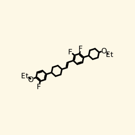 CCOc1ccc(C2CCC(/C=C/c3ccc(C4CCC(OCC)CC4)c(F)c3F)CC2)cc1F